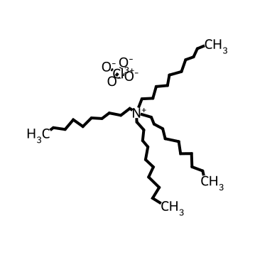 CCCCCCCCCC[N+](CCCCCCCCCC)(CCCCCCCCCC)CCCCCCCCCC.[O-][Cl+3]([O-])([O-])[O-]